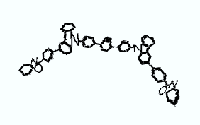 c1ccc2oc(-c3ccc(-c4ccc5c(c4)c4ccccc4n5-c4ccc(-c5ccc(-c6ccc(-n7c8ccccc8c8cc(-c9ccc(-c%10nc%11ccccc%11o%10)cc9)ccc87)cc6)cc5)cc4)cc3)nc2c1